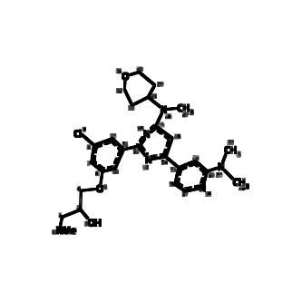 CNCC(O)COc1cc(Cl)cc(-c2nc(-c3ccnc(N(C)C)c3)cc(N(C)C3CCOCC3)n2)c1